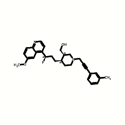 COc1ccc2nccc([C@H](F)CC[C@@H]3CCN(CC#Cc4cccc(C)c4)C[C@@H]3CO)c2c1